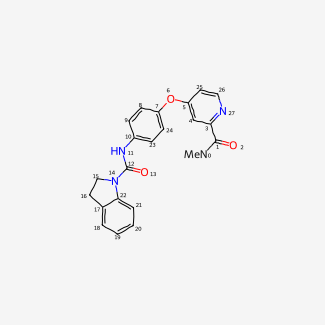 CNC(=O)c1cc(Oc2ccc(NC(=O)N3CCc4ccccc43)cc2)ccn1